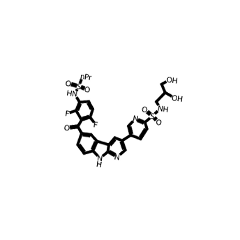 CCCS(=O)(=O)Nc1ccc(F)c(C(=O)c2ccc3[nH]c4ncc(-c5ccc(S(=O)(=O)NCC(O)CO)nc5)cc4c3c2)c1F